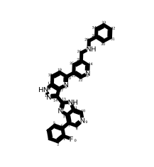 Fc1ccccc1-c1cncc2[nH]c(-c3n[nH]c4ccc(-c5cncc(CNCc6ccccc6)c5)nc34)nc12